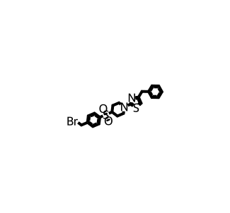 O=S(=O)(c1ccc(CBr)cc1)C1CCN(c2nc(Cc3ccccc3)cs2)CC1